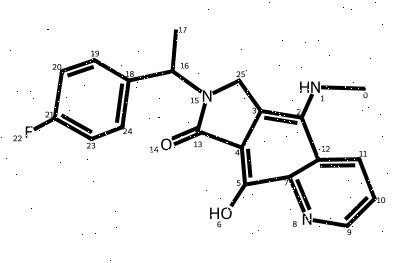 CNc1c2c(c(O)c3ncccc13)C(=O)N(C(C)c1ccc(F)cc1)C2